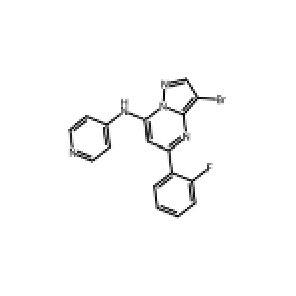 Fc1ccccc1-c1cc(Nc2ccncc2)n2ncc(Br)c2n1